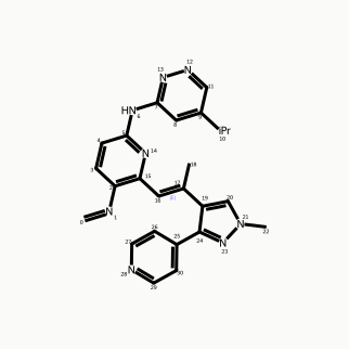 C=Nc1ccc(Nc2cc(C(C)C)cnn2)nc1/C=C(\C)c1cn(C)nc1-c1ccncc1